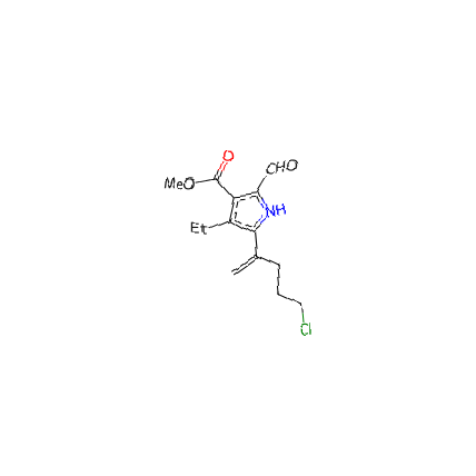 C=C(CCCCl)c1[nH]c(C=O)c(C(=O)OC)c1CC